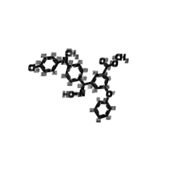 COC(=O)c1cc(Oc2ccccc2)cc(C(=NO)c2ccc(N(C)c3ccc(Cl)cc3)cc2)c1